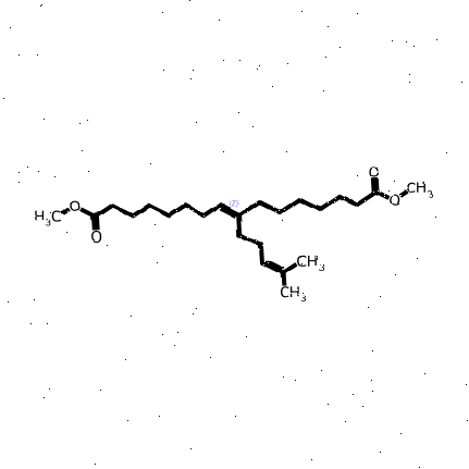 COC(=O)CCCCCC/C=C(\CCC=C(C)C)CCCCCCC(=O)OC